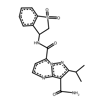 CC(C)c1nn2c(C(=O)NC3CS(=O)(=O)c4ccccc43)ccnc2c1C(N)=O